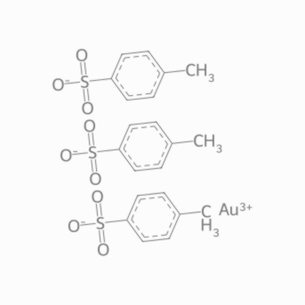 Cc1ccc(S(=O)(=O)[O-])cc1.Cc1ccc(S(=O)(=O)[O-])cc1.Cc1ccc(S(=O)(=O)[O-])cc1.[Au+3]